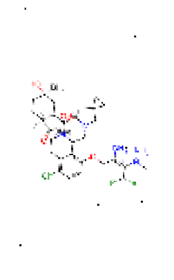 BC1(O)CC[C@](C)(C(=O)OC)C(C(=O)N2CCc3c(Cl)ccc(OC/C(N)=C(\C(F)F)N(C)N)c3C2CN2CC3(CC3)CC2=O)C1